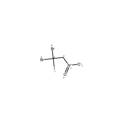 O=[N+]([O-])CC(Br)(Br)I